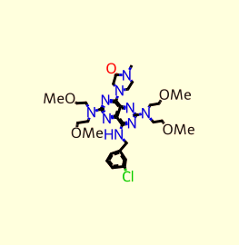 COCCN(CCOC)c1nc(N2CCN(C)C(=O)C2)c2nc(N(CCOC)CCOC)nc(NCc3cccc(Cl)c3)c2n1